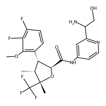 COc1c([C@@H]2[C@@H](C(=O)Nc3ccnc(C(N)CO)c3)O[C@](C)(C(F)(F)F)[C@@H]2C)ccc(F)c1F